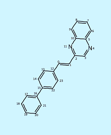 C(=Cc1cnc2ccccc2n1)c1ccc(-c2ccccc2)cc1